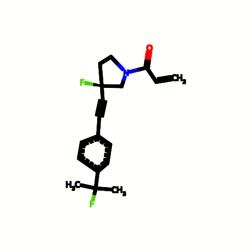 C=CC(=O)N1CC[C@@](F)(C#Cc2ccc(C(C)(C)F)cc2)C1